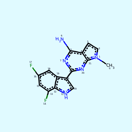 Cn1ccc2c(N)nc(-c3c[nH]c4c(F)cc(F)cc34)nc21